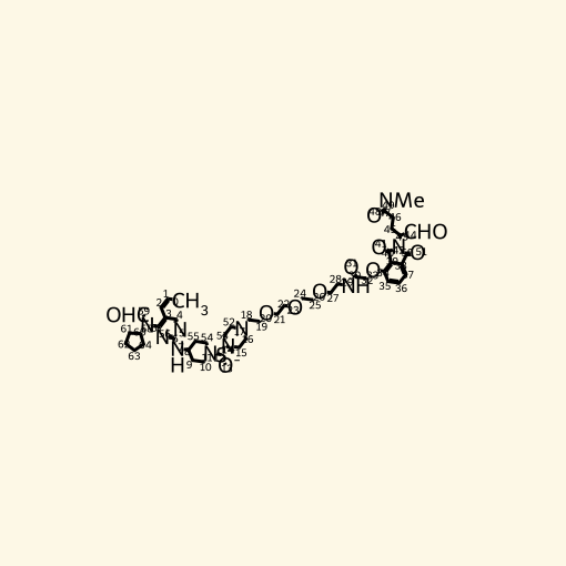 C/C=C\c1cnc(NC2CCN([S+]([O-])N3CCN(CCOCCOCCOCCNC(=O)COc4cccc5c4C(=O)N(C(C=O)CCC(=O)NC)C5=O)CC3)CC2)nc1N(C=O)C1CCCC1